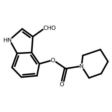 O=Cc1c[nH]c2cccc(OC(=O)N3CCCCC3)c12